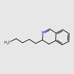 CCCCCC1Cc2ccccc2C=N1